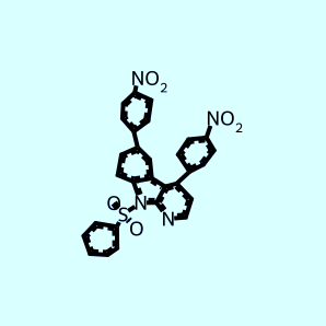 O=[N+]([O-])c1ccc(-c2ccc3c(c2)c2c(-c4ccc([N+](=O)[O-])cc4)ccnc2n3S(=O)(=O)c2ccccc2)cc1